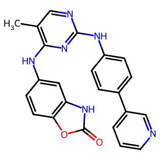 Cc1cnc(Nc2ccc(-c3cccnc3)cc2)nc1Nc1ccc2oc(=O)[nH]c2c1